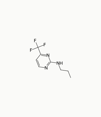 CCCNc1nccc(C(F)(F)F)n1